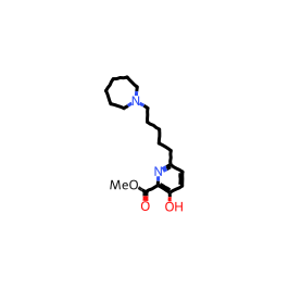 COC(=O)c1nc(CCCCCN2CCCCCC2)ccc1O